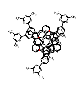 Cc1nc(C)nc(C2=Cc3c(c4ccc(-c5nc(C)nc(C)n5)cc4n3-c3cccc(-n4c5cc(-c6nc(C)nc(C)n6)ccc5c5ccc(-c6nc(C)nc(C)n6)cc54)c3-c3nc(-c4ccccc4)nc(-c4c(-n5c6cc(-c7nc(C)nc(C)n7)ccc6c6ccc(-c7nc(C)nc(C)n7)cc65)cccc4-n4c5cc(-c6nc(C)nc(C)n6)ccc5c5ccc(-c6nc(C)nc(C)n6)cc54)n3)CC2)n1